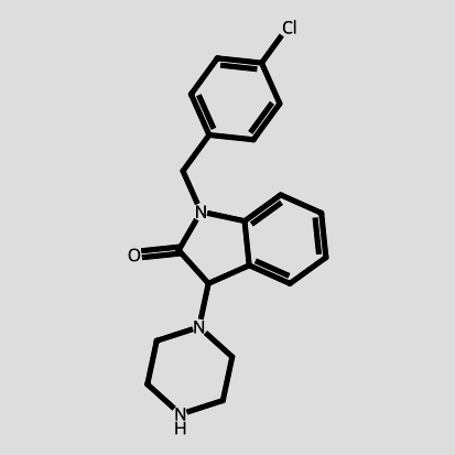 O=C1C(N2CCNCC2)c2ccccc2N1Cc1ccc(Cl)cc1